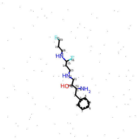 N[C@@H](Cc1ccccc1)[C@H](O)CNCCC(F)NCCCF